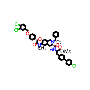 CC[C@@H](c1ccccc1)N1Cc2cc3c(cc2C[C@H]1C(=O)NC(Cc1ccc(-c2ccc(Cl)cc2)cc1)C(=O)OC)N(C)C(=O)[C@H](c1ccc(OCc2ccc(Cl)c(Cl)c2)cc1)O3